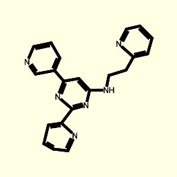 c1ccc(CCNc2cc(-c3cccnc3)nc(-c3ccccn3)n2)nc1